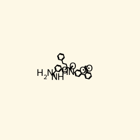 CS(=O)(=O)c1ccccc1-c1ccc(NC(=O)C(CCc2ccccc2)Oc2cccc(C(=N)N)c2)cc1